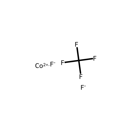 FC(F)(F)F.[Co+2].[F-].[F-]